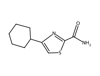 NC(=O)c1nc(C2CCCCC2)cs1